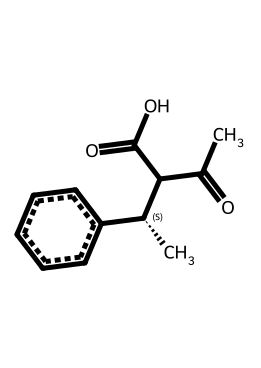 CC(=O)C(C(=O)O)[C@H](C)c1ccccc1